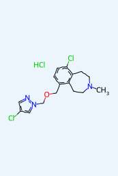 CN1CCc2c(Cl)ccc(COCn3cc(Cl)cn3)c2CC1.Cl